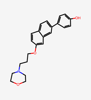 Oc1ccc(-c2ccc3ccc(OCCCN4CCOCC4)cc3c2)cc1